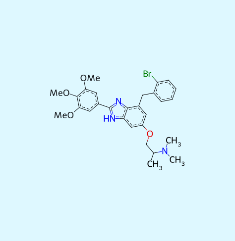 COc1cc(-c2nc3c(Cc4ccccc4Br)cc(OCC(C)N(C)C)cc3[nH]2)cc(OC)c1OC